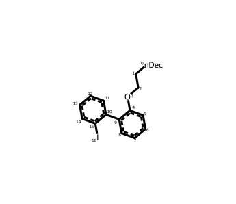 CCCCCCCCCCCCOc1ccccc1-c1ccccc1I